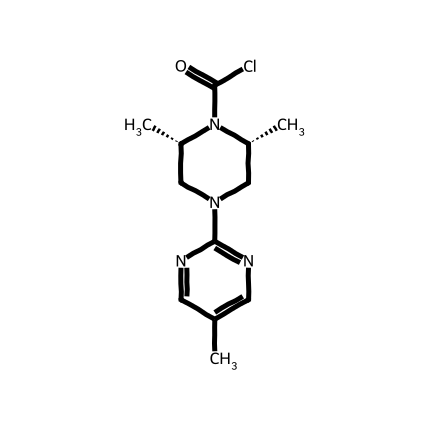 Cc1cnc(N2C[C@@H](C)N(C(=O)Cl)[C@@H](C)C2)nc1